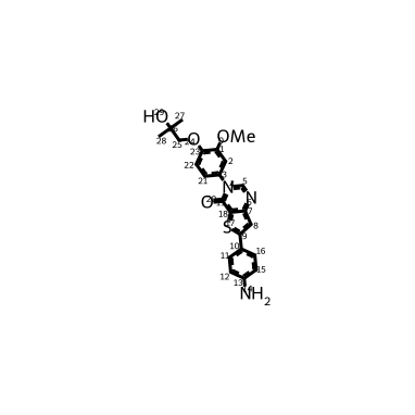 COc1cc(-n2cnc3cc(-c4ccc(N)cc4)sc3c2=O)ccc1OCC(C)(C)O